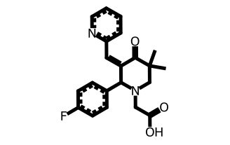 CC1(C)CN(CC(=O)O)C(c2ccc(F)cc2)C(=Cc2ccccn2)C1=O